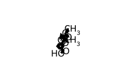 CCOC(=O)C1(N(C)S(=O)(=O)c2cccc(C(=O)O)c2)CC1